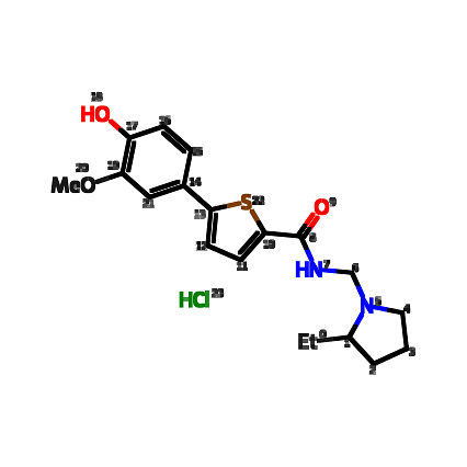 CCC1CCCN1CNC(=O)c1ccc(-c2ccc(O)c(OC)c2)s1.Cl